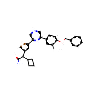 COc1cc(-c2cncc(-c3cc(C(C(N)=O)C4CCC4)cs3)n2)ccc1OCc1ccccc1